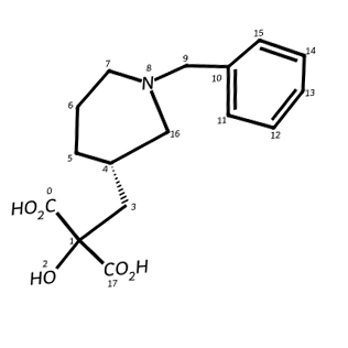 O=C(O)C(O)(C[C@@H]1CCCN(Cc2ccccc2)C1)C(=O)O